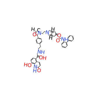 CN(CCN1C[C@H]2C[C@@H](OC(=O)Nc3ccccc3-c3ccccc3)C[C@H]2C1)C(=O)c1ccc(CCNC[C@H](O)c2ccc(O)c3[nH]c(=O)ccc23)cc1